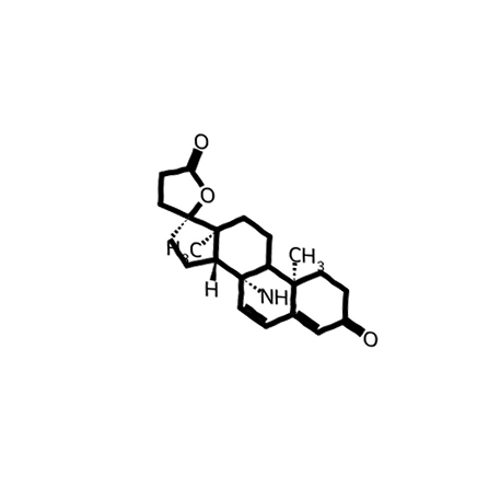 C[C@]12CCC(=O)C=C1C=C[C@]1(N)C2CC[C@@]2(C)[C@H]1CC[C@@]21CCC(=O)O1